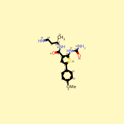 COc1ccc(-c2cc(C(=O)N[C@@H](C)CC=N)c(NC(N)=O)s2)cc1